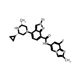 CCn1cc2c(N3C[C@@H](C)N[C@@H](C4CC4)C3)ccc(C(=O)Nc3cc(F)c4nc(C)cn4c3)c2n1